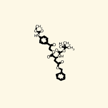 COC(=O)Nc1ccc(C(=O)COC(=O)C(CC(=O)OCc2ccccc2)NC(=O)OC(C)(C)C)cc1